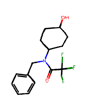 O=C(N(Cc1ccccc1)C1C[CH]C(O)CC1)C(F)(F)F